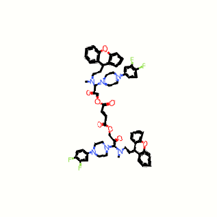 CN(CCC1c2ccccc2Oc2ccccc21)C(C(=O)COC(=O)/C=C/C(=O)OCC(=O)C(N(C)CCC1c2ccccc2Oc2ccccc21)N1CCN(c2ccc(F)c(F)c2)CC1)N1CCN(c2ccc(F)c(F)c2)CC1